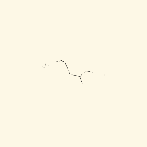 [CH2]OCCC(C)CC(C)(C)C